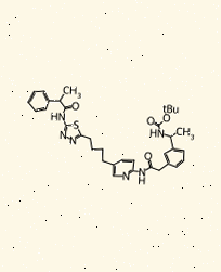 CC(NC(=O)OC(C)(C)C)c1cccc(CC(=O)Nc2ccc(CCCCc3nnc(NC(=O)C(C)c4ccccc4)s3)cn2)c1